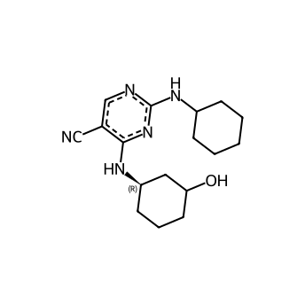 N#Cc1cnc(NC2CCCCC2)nc1N[C@@H]1CCCC(O)C1